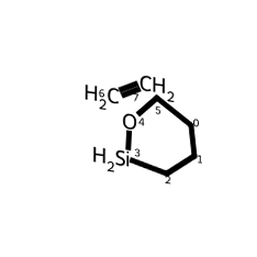 C1CC[SiH2]OC1.C=C